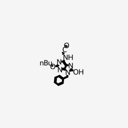 CCCCOc1nc(NC=C=O)c2nc(O)n(Cc3ccccc3)c2n1